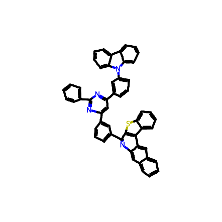 c1ccc(-c2nc(-c3cccc(-c4nc5cc6ccccc6cc5c5c4sc4ccccc45)c3)cc(-c3cccc(-n4c5ccccc5c5ccccc54)c3)n2)cc1